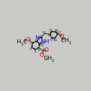 COC(=O)c1ccc(OC)c2nc(Cc3ccc(OC)cc3)[nH]c12